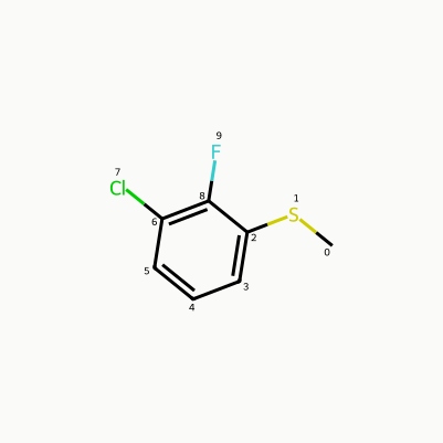 CSc1cccc(Cl)c1F